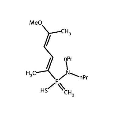 C=P(S)(/C(C)=C/C=C(\C)OC)N(CCC)CCC